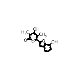 Cc1c(-c2cc3cccc(O)c3o2)oc(=O)c(C)c1O